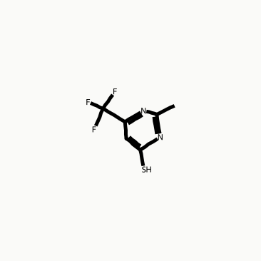 Cc1nc(S)cc(C(F)(F)F)n1